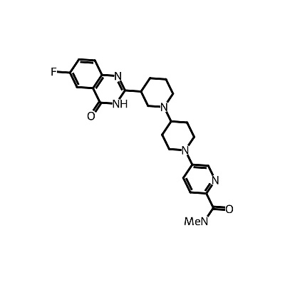 CNC(=O)c1ccc(N2CCC(N3CCCC(c4nc5ccc(F)cc5c(=O)[nH]4)C3)CC2)cn1